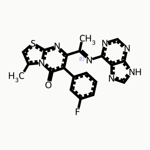 C/C(=N\c1ncnc2[nH]cnc12)c1nc2scc(C)n2c(=O)c1-c1cccc(F)c1